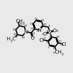 Cc1cc(Cl)c(S(=O)(=O)Cc2cccc(C(=O)N3CC(C)CC(C)C3)n2)cc1Cl